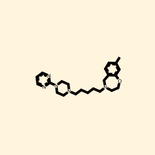 Cc1ccc2c(c1)OCCN(CCCCCN1CCN(c3ncccn3)CC1)C2